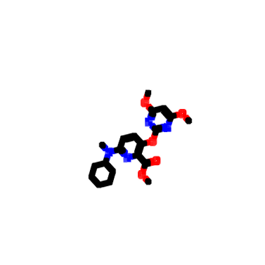 COC(=O)c1nc(N(C)C2CCCCC2)ccc1Oc1nc(OC)cc(OC)n1